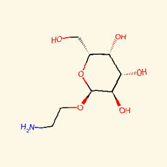 NCCO[C@H]1O[C@H](CO)[C@H](O)[C@H](O)[C@H]1O